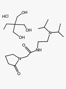 CC(C)N(CCNC(=O)CN1CCCC1=O)C(C)C.CCC(CO)(CO)CO.Cl